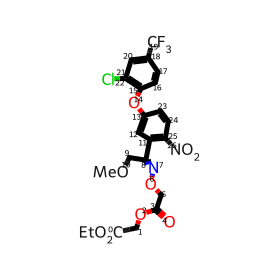 CCOC(=O)COC(=O)CON=C(COC)c1cc(Oc2ccc(C(F)(F)F)cc2Cl)ccc1[N+](=O)[O-]